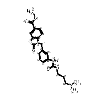 COC(=O)c1ccc2c(c1)oc(=O)n2Cc1cccc(NC(=O)OCCCN(C)C)c1